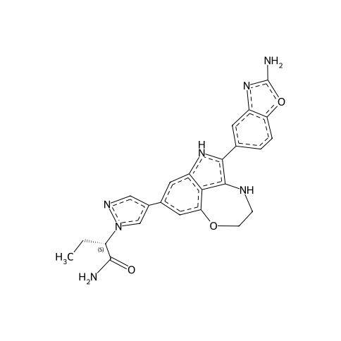 CC[C@@H](C(N)=O)n1cc(-c2cc3c4c(c(-c5ccc6oc(N)nc6c5)[nH]c4c2)NCCO3)cn1